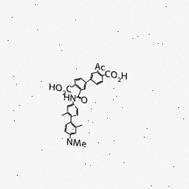 CNc1ccc(-c2ccc(NC(=O)c3cc(-c4ccc(C(=O)O)c(C(C)=O)c4)ccc3C(=O)O)cc2C)c(C)c1